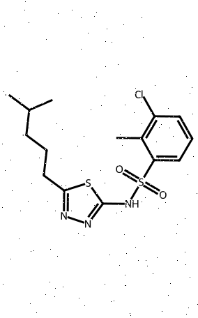 [CH2]C(C)[CH]CCc1nnc(NS(=O)(=O)c2cccc(Cl)c2C)s1